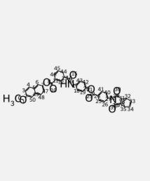 COc1ccc2cc(OC(=O)C3=CC(C(=O)Nc4ccc(OC(=O)c5ccc(N6C(=O)C7C8C=CC(C8)C7C6=O)cc5)cc4)CC=C3)ccc2c1